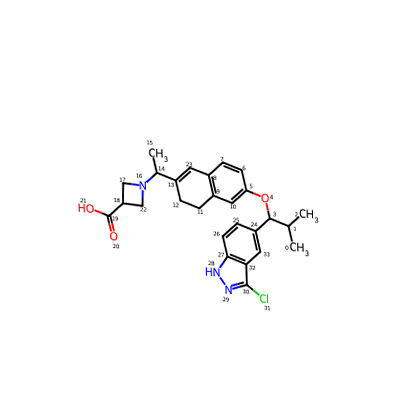 CC(C)C(Oc1ccc2c(c1)CCC(C(C)N1CC(C(=O)O)C1)=C2)c1ccc2[nH]nc(Cl)c2c1